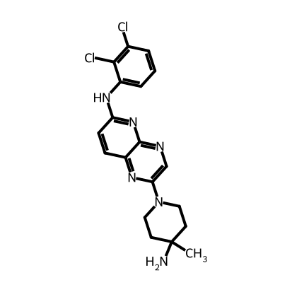 CC1(N)CCN(c2cnc3nc(Nc4cccc(Cl)c4Cl)ccc3n2)CC1